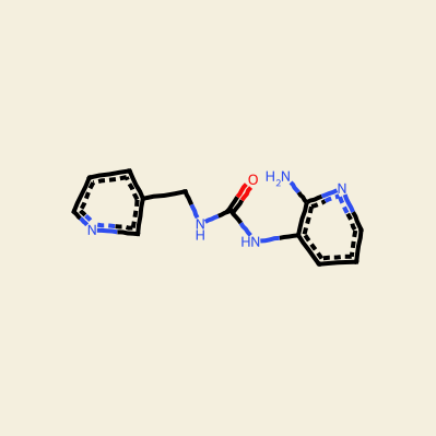 Nc1ncccc1NC(=O)NCc1cccnc1